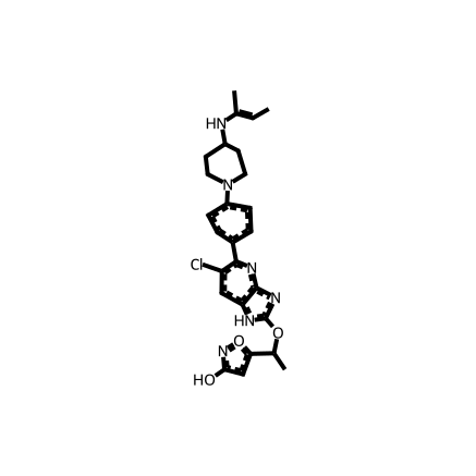 CC=C(C)NC1CCN(c2ccc(-c3nc4nc(OC(C)c5cc(O)no5)[nH]c4cc3Cl)cc2)CC1